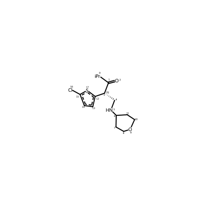 CC(C)C(=O)[C@H](CNC1CCOCC1)c1ccc(Cl)s1